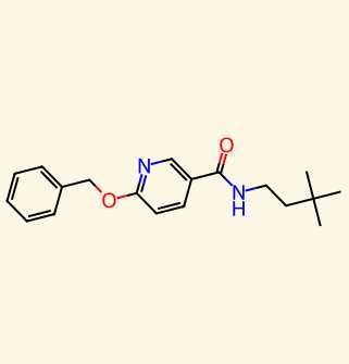 CC(C)(C)CCNC(=O)c1ccc(OCc2ccccc2)nc1